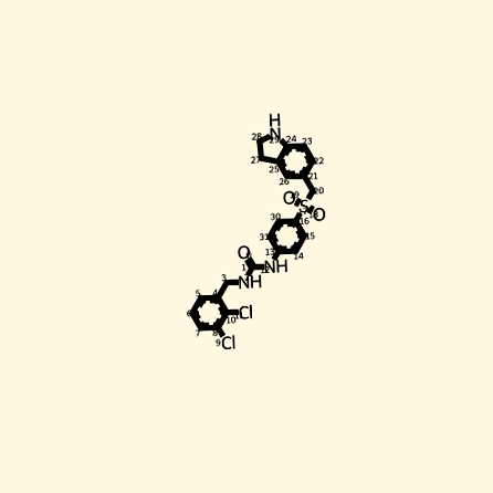 O=C(NCc1cccc(Cl)c1Cl)Nc1ccc(S(=O)(=O)Cc2ccc3c(c2)CCN3)cc1